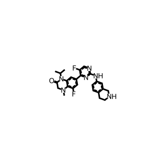 CC(C)N1C(=O)CN(C)c2c(F)cc(-c3nc(Nc4ccc5c(c4)CNCC5)ncc3F)cc21